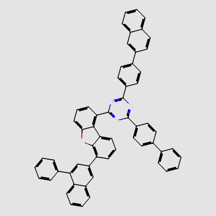 c1ccc(-c2ccc(-c3nc(-c4ccc(-c5ccc6ccccc6c5)cc4)nc(-c4cccc5oc6c(-c7cc(-c8ccccc8)c8ccccc8c7)cccc6c45)n3)cc2)cc1